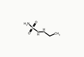 CCNNS(N)(=O)=O